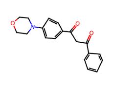 O=C(CC(=O)c1ccc(N2CCOCC2)cc1)c1ccccc1